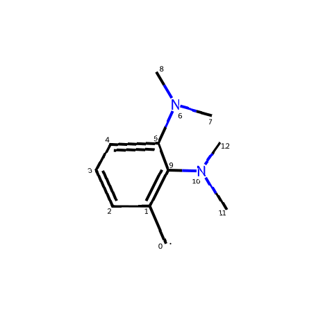 [CH2]c1cccc(N(C)C)c1N(C)C